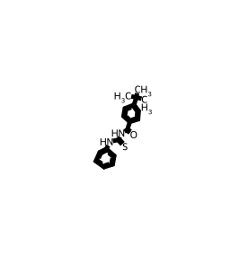 CC(C)(C)c1ccc(C(=O)NC(=S)Nc2cc[c]cc2)cc1